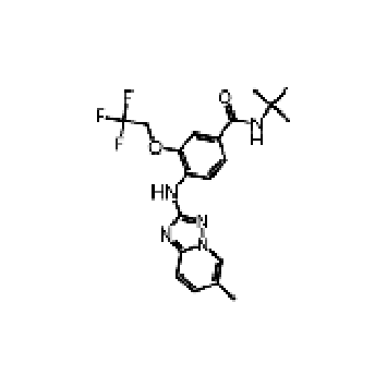 Cc1ccc2nc(Nc3ccc(C(=O)NC(C)(C)C)cc3OCC(F)(F)F)nn2c1